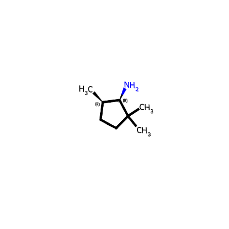 C[C@@H]1CCC(C)(C)[C@@H]1N